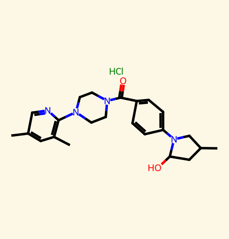 Cc1cnc(N2CCN(C(=O)c3ccc(N4CC(C)CC4O)cc3)CC2)c(C)c1.Cl